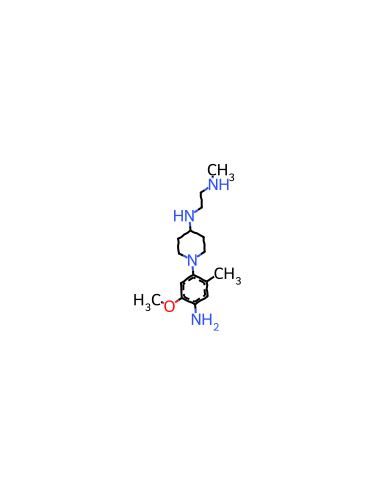 CNCCNC1CCN(c2cc(OC)c(N)cc2C)CC1